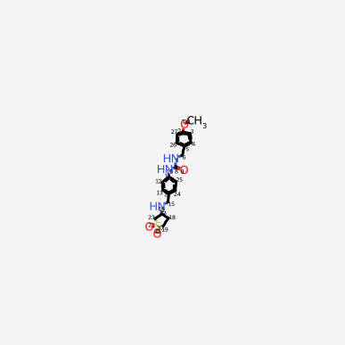 COc1ccc(CNC(=O)Nc2ccc(CN[C@H]3CCS(=O)(=O)C3)cc2)cc1